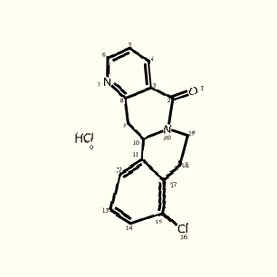 Cl.O=C1c2cccnc2CC2c3cccc(Cl)c3CCN12